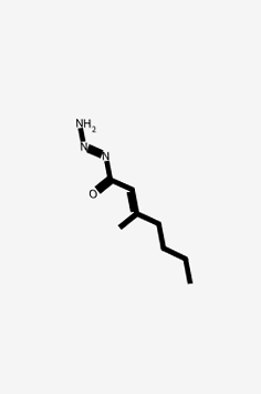 CCCC/C(C)=C/C(=O)N=NN